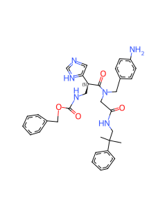 CC(C)(CNC(=O)CN(Cc1ccc(N)cc1)C(=O)[C@@H](CNC(=O)OCc1ccccc1)c1cnc[nH]1)c1ccccc1